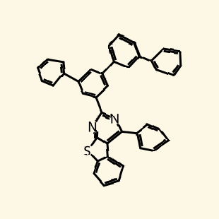 c1ccc(-c2cccc(-c3cc(-c4ccccc4)cc(-c4nc(-c5ccccc5)c5c(n4)sc4ccccc45)c3)c2)cc1